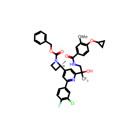 COc1cc(C(=O)NCC(O)(c2cc([C@@]3(C)CCN3C(=O)OCc3ccccc3)cc(-c3ccc(F)c(Cl)c3)n2)C(F)(F)F)ccc1OC1CC1